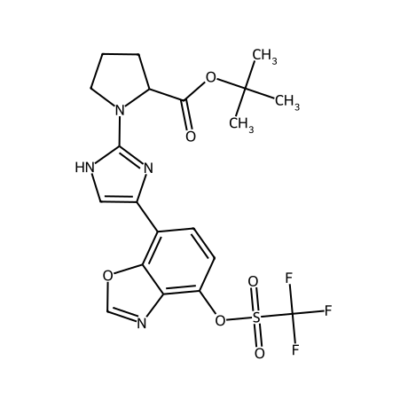 CC(C)(C)OC(=O)C1CCCN1c1nc(-c2ccc(OS(=O)(=O)C(F)(F)F)c3ncoc23)c[nH]1